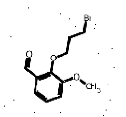 COc1cccc(C=O)c1OCCCBr